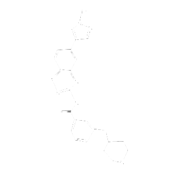 CC(C)n1cc(-c2ccc3cnc(NC(=O)c4cccc(OC5CCNCC5)c4)nc3c2)cn1